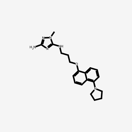 Cn1nc(N)nc1NCCCOc1cccc2c(N3CCCC3)cccc12